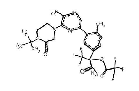 Cc1ccc(C(OC(=O)C(F)(F)F)(C(N)=O)C(F)(F)F)cc1-c1cnc(N)c(N2CCN(C(C)(C)C)C(=O)C2)n1